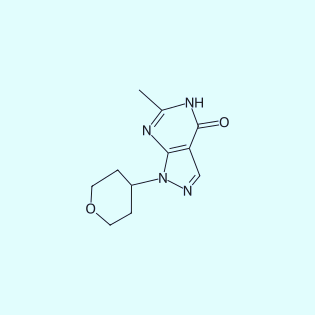 Cc1nc2c(cnn2C2CCOCC2)c(=O)[nH]1